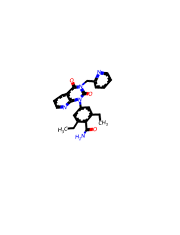 CCc1cc(-n2c(=O)n(Cc3ccccn3)c(=O)c3cccnc32)cc(CC)c1C(N)=O